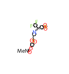 CNC(=O)COc1ccc(S(=O)(=O)CCC2CCN(CC[C@H](c3ccc(S(C)(=O)=O)cc3)c3cc(F)cc(F)c3)CC2)cc1